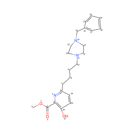 COC(=O)c1nc(CCCCN2CCN(Cc3ccccc3)CC2)ccc1O